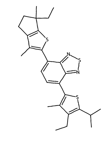 CCc1c(C(C)C)sc(-c2ccc(-c3sc4c(c3C)CCC4(C)CC)c3nsnc23)c1C